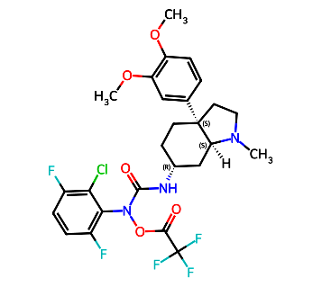 COc1ccc([C@@]23CC[C@@H](NC(=O)N(OC(=O)C(F)(F)F)c4c(F)ccc(F)c4Cl)C[C@@H]2N(C)CC3)cc1OC